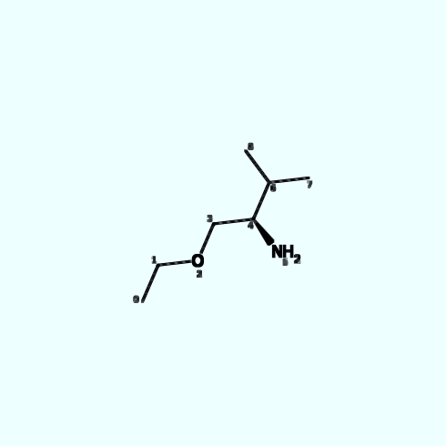 CCOC[C@H](N)C(C)C